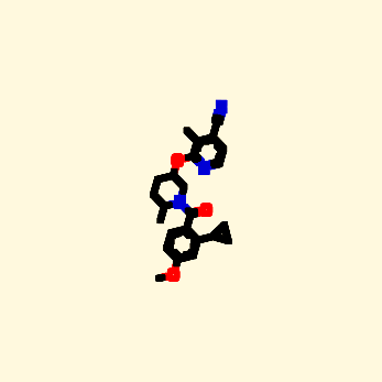 COc1ccc(C(=O)N2CC(Oc3nccc(C#N)c3C)CCC2C)c(C2CC2)c1